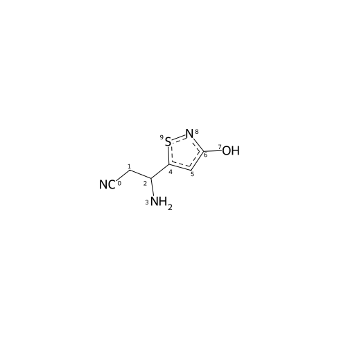 N#CCC(N)c1cc(O)ns1